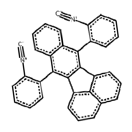 [C-]#[N+]c1ccccc1-c1c2c(c(-c3ccccc3[N+]#[C-])c3ccccc13)-c1cccc3cccc-2c13